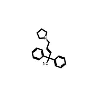 N#CC(/C=C/CN1CCCC1)(c1ccccc1)c1ccccc1